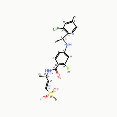 Cc1ccc([C@H](C)Nc2ccc(C(=O)N[C@H](C)/C=C/S(C)(=O)=O)c(F)c2)c(Cl)c1